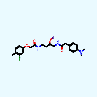 Cc1ccc(OCC(=O)NCCC(CNC(=O)Cc2ccc(N(C)C)cc2)OI)cc1F